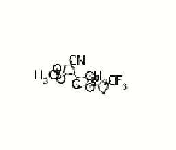 CC1(S(=O)(=O)c2cccc(C(F)(F)F)c2)CCOC(c2cc(C#N)cc(S(C)(=O)=O)c2)C1